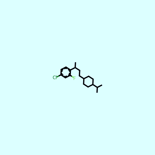 CC(CCC1CCC(C(C)C)CC1)c1ccc(Cl)cc1F